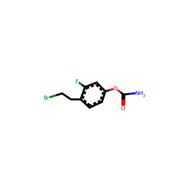 NC(=O)Oc1ccc(CCBr)c(F)c1